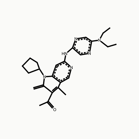 C=C1C(C(C)=O)=C(C)c2cnc(Nc3cnc(N(CC)CC)cn3)cc2N1C1CCCC1